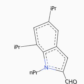 CCCn1c(C=O)cc2cc(C(C)C)cc(C(C)C)c21